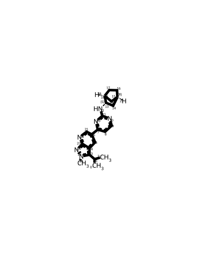 CC(C)c1c2cc(-c3ccnc(N[C@H]4C[C@@H]5CC[C@H]4C5)n3)cnc2nn1C